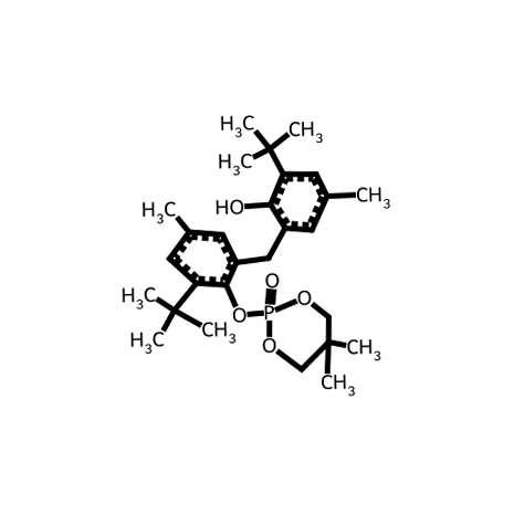 Cc1cc(Cc2cc(C)cc(C(C)(C)C)c2OP2(=O)OCC(C)(C)CO2)c(O)c(C(C)(C)C)c1